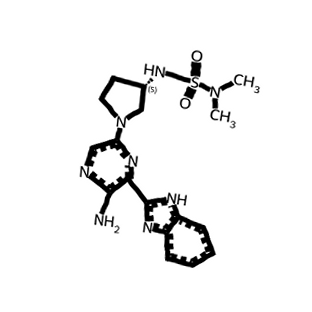 CN(C)S(=O)(=O)N[C@H]1CCN(c2cnc(N)c(-c3nc4ccccc4[nH]3)n2)C1